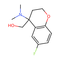 CN(C)C1(CO)CCOc2ccc(F)cc21